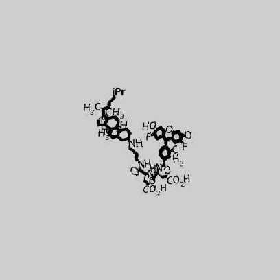 Cc1cc(C(=O)N[C@@H](CCC(=O)O)C(=O)N[C@@H](CCC(=O)O)C(=O)NCCCN[C@H]2CC[C@@]3(C)C(=CC[C@H]4[C@@H]5CC[C@H]([C@H](C)CCCC(C)C)[C@@]5(C)CC[C@@H]43)C2)ccc1-c1c2cc(F)c(=O)cc-2oc2cc(O)c(F)cc12